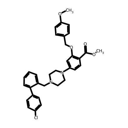 COC(=O)c1ccc(N2CCN(Cc3ccccc3-c3ccc(Cl)cc3)CC2)cc1OCc1ccc(OC)cc1